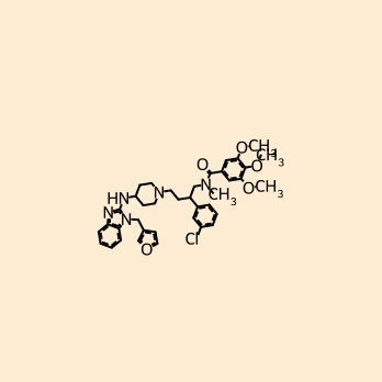 COc1cc(C(=O)N(C)CC(CCN2CCC(Nc3nc4ccccc4n3Cc3ccoc3)CC2)c2cccc(Cl)c2)cc(OC)c1OC